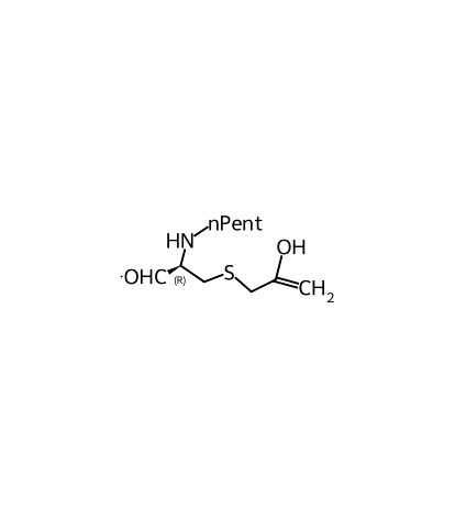 C=C(O)CSC[C@@H]([C]=O)NCCCCC